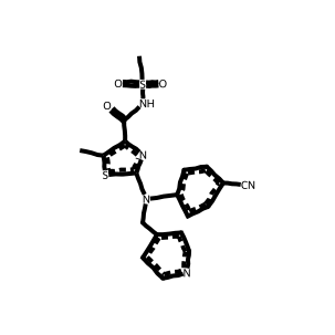 Cc1sc(N(Cc2ccncc2)c2ccc(C#N)cc2)nc1C(=O)NS(C)(=O)=O